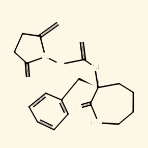 O=C(N[C@]1(Cc2ccccc2)CCCCNC1=O)ON1C(=O)CCC1=O